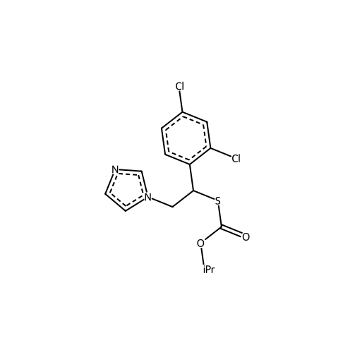 CC(C)OC(=O)SC(Cn1ccnc1)c1ccc(Cl)cc1Cl